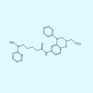 O=CN(CCCCC(=O)Nc1ccc2c(c1)N(c1ccccc1)CC(CC(=O)O)O2)c1ccccn1